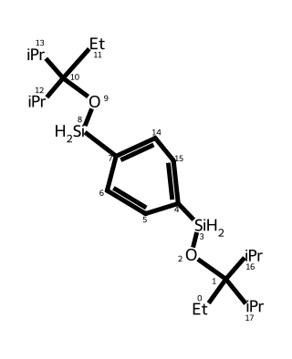 CCC(O[SiH2]c1ccc([SiH2]OC(CC)(C(C)C)C(C)C)cc1)(C(C)C)C(C)C